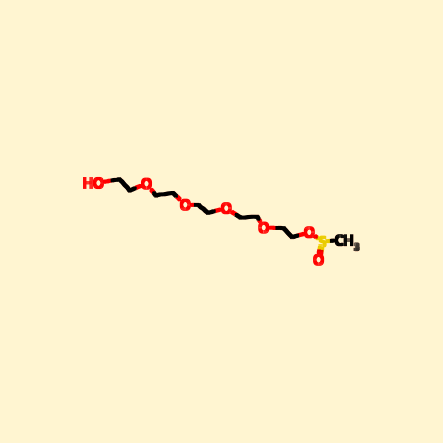 CS(=O)OCCOCCOCCOCCOCCO